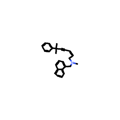 CN(C/C=C\C#CC(C)(C)c1ccccc1)Cc1cccc2ccccc12